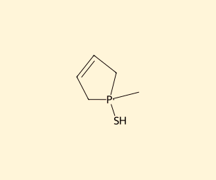 C[P]1(S)CC=CC1